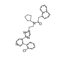 O=C(Cc1cccc2ccccc12)N(CCn1cnc(-c2ccncc2-c2ccccc2Cl)n1)C1CCCC1